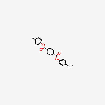 CCCc1ccc(OC(=O)[C@H]2CC[C@H](C(=O)Oc3ccc(C)cc3)CC2)cc1